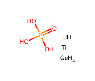 O=P(O)(O)O.[GeH4].[LiH].[Ti]